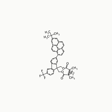 C=C(C)C(=O)OCC1(COC(=O)C(=C)C)c2ccc(C(F)(F)F)cc2-c2ccc(-c3ccc4ccc5cc(C(C)(C)C)cc6ccc3c4c56)cc21